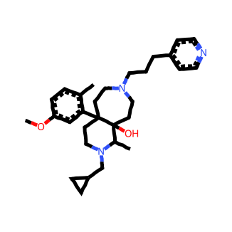 COc1ccc(C)c(C23CCN(CCCc4ccncc4)CCC2(O)C(C)N(CC2CC2)CC3)c1